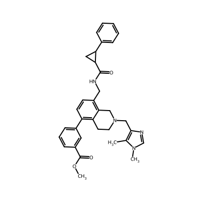 COC(=O)c1cccc(-c2ccc(CNC(=O)C3CC3c3ccccc3)c3c2CCN(Cc2ncn(C)c2C)C3)c1